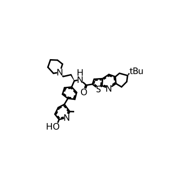 Cc1nc(O)ccc1-c1ccc([C@@H](CCN2CCCCC2)NC(=O)c2cc3cc4c(nc3s2)CC[C@H](C(C)(C)C)C4)cc1